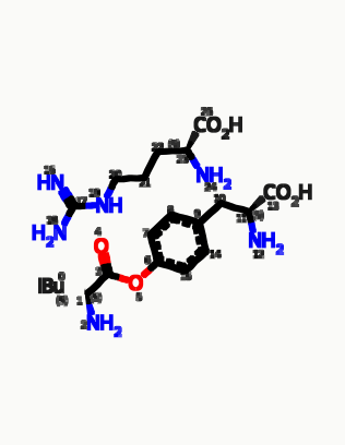 CC[C@H](C)[C@H](N)C(=O)Oc1ccc(C[C@H](N)C(=O)O)cc1.N=C(N)NCCC[C@H](N)C(=O)O